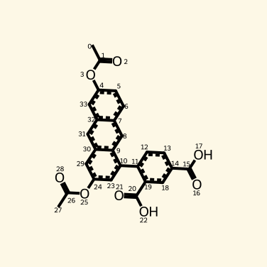 CC(=O)Oc1ccc2cc3c(-c4ccc(C(=O)O)cc4C(=O)O)cc(OC(C)=O)cc3cc2c1